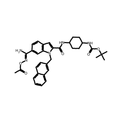 CC(=O)ON=C(N)c1ccc2cc(C(=O)NC3CCC(NC(=O)OC(C)(C)C)CC3)n(Cc3ccc4ccccc4c3)c2c1